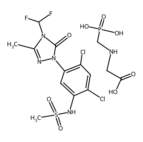 Cc1nn(-c2cc(NS(C)(=O)=O)c(Cl)cc2Cl)c(=O)n1C(F)F.O=C(O)CNCP(=O)(O)O